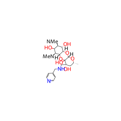 CN[C@@H]1[C@H](O)[C@H](NC)[C@H]2O[C@]3(O)[C@H](O[C@@H]2[C@H]1O)O[C@H](C)C[C@@]3(O)CNCc1ccncc1